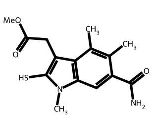 COC(=O)Cc1c(S)n(C)c2cc(C(N)=O)c(C)c(C)c12